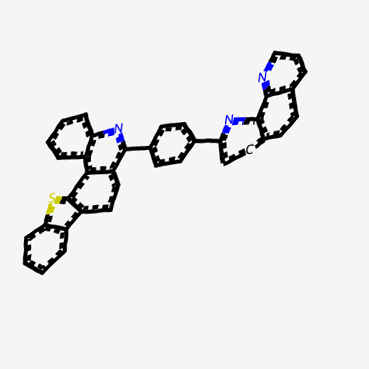 c1cnc2c(c1)ccc1ccc(-c3ccc(-c4nc5ccccc5c5c4ccc4c6ccccc6sc45)cc3)nc12